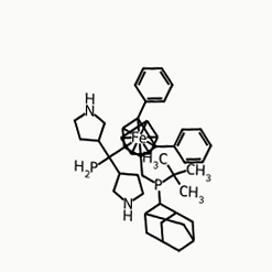 CC(C)(C)P(C[C]12[C]3(c4ccccc4)[C]4(c5ccccc5)[CH]5[C]1(C(P)(C1CCNC1)C1CCNC1)[Fe]54231678[CH]2[CH]1[CH]6[CH]7[CH]28)C1C2CC3CC(C2)CC1C3